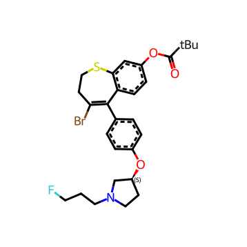 CC(C)(C)C(=O)Oc1ccc2c(c1)SCCC(Br)=C2c1ccc(O[C@H]2CCN(CCCF)C2)cc1